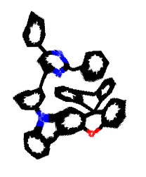 c1ccc(-c2cc(-c3cccc(-n4c5ccccc5c5cc6c(cc54)C4(c5ccccc5O6)c5ccccc5-c5ccccc54)c3)nc(-c3ccccc3)n2)cc1